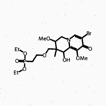 CCOP(=O)(CCOCC1(C)C(OC)Cn2cc(Br)c(=O)c(OC)c2C1O)OCC